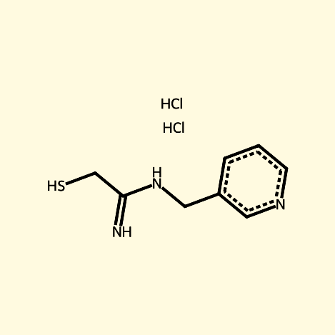 Cl.Cl.N=C(CS)NCc1cccnc1